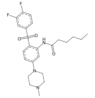 CCCCCC(=O)Nc1cc(N2CCN(C)CC2)ccc1S(=O)(=O)c1ccc(F)c(F)c1